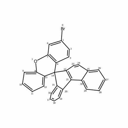 Brc1ccc2c(c1)Oc1ccccc1C21c2ccccc2-c2c1ccc1ccccc21